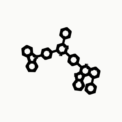 c1ccc(-c2cc(-c3ccc(-n4c5ccccc5c5ccccc54)cc3)nc(-c3ccc(-c4nc5cccc(-c6ccccc6)c5c5c4sc4ccccc45)cc3)n2)cc1